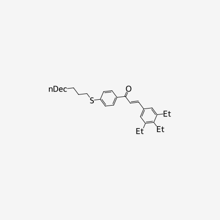 CCCCCCCCCCCCCSc1ccc(C(=O)/C=C/c2cc(CC)c(CC)c(CC)c2)cc1